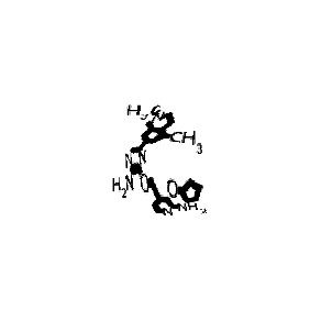 Cc1cc(-c2cnc(N)c(OCc3ccnc(N)c3OC3CCCC3)n2)cc2c1CCN(C)C2